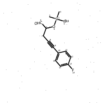 CC(C)(C)[Si](C)(C)OC(C=O)CC#Cc1ccc(F)cc1